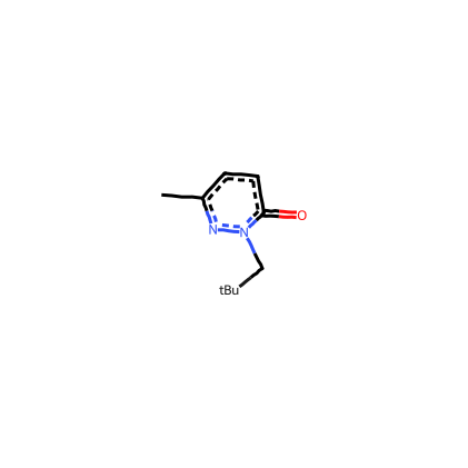 Cc1ccc(=O)n(CC(C)(C)C)n1